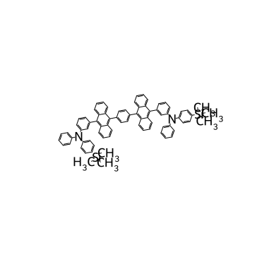 C[Si](C)(C)c1ccc(N(c2ccccc2)c2cccc(-c3c4ccccc4c(-c4ccc(-c5c6ccccc6c(-c6cccc(N(c7ccccc7)c7ccc([Si](C)(C)C)cc7)c6)c6ccccc56)cc4)c4ccccc34)c2)cc1